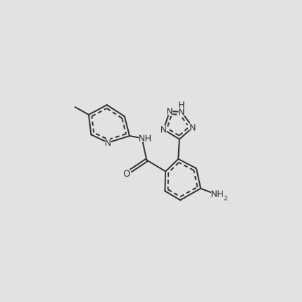 Cc1ccc(NC(=O)c2ccc(N)cc2-c2nn[nH]n2)nc1